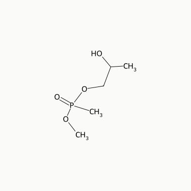 COP(C)(=O)OCC(C)O